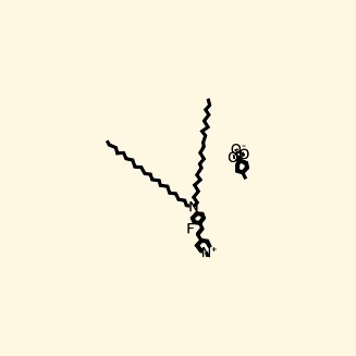 CCCCCCCCCCCCCCCCCCCCN(CCCCCCCCCCCCCCCCCCCC)c1ccc(C=Cc2cc[n+](C)cc2)c(F)c1.Cc1ccc(S(=O)(=O)[O-])cc1